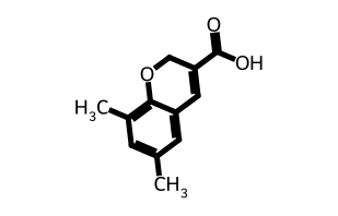 Cc1cc(C)c2c(c1)C=C(C(=O)O)CO2